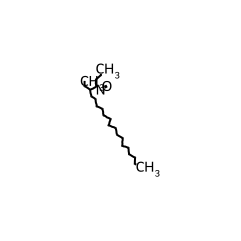 CCCCCCCCCCCCCCCCC(CC)C(CCC)N=O